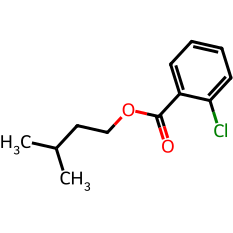 CC(C)CCOC(=O)c1ccccc1Cl